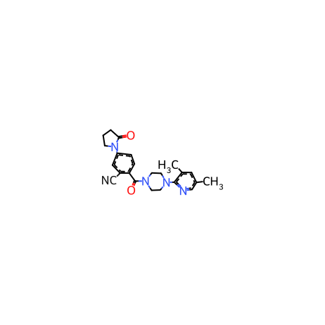 Cc1cnc(N2CCN(C(=O)c3ccc(N4CCCC4=O)cc3C#N)CC2)c(C)c1